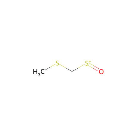 CSC[S+]=O